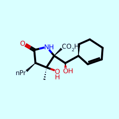 CCC[C@H]1C(=O)N[C@](C(=O)O)([C@H](O)[C@@H]2C=CCCC2)[C@@]1(C)O